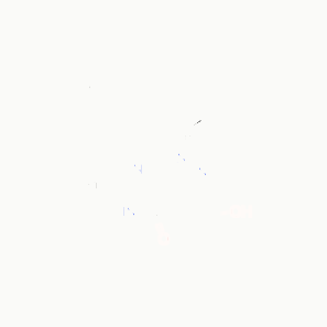 CCCc1nc2c(c(CO)nn2[C@H](C)c2ccc(C(F)(F)F)cc2)c(=O)[nH]1